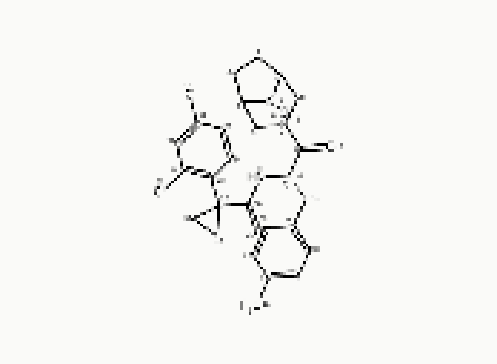 CN1C2CCC1CN(C(=O)[C@H](Cc1ccc(C(F)(F)F)cc1)NC(=O)C1(c3ccc(Cl)cc3Cl)CC1)C2